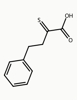 O=C(O)C(=S)CCc1ccccc1